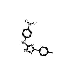 Cc1ccc(-c2n[se]c(Nc3ccc([N+](=O)[O-])cc3)n2)cc1